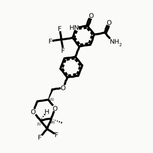 C[C@@]12O[C@H](COc3ccc(-c4cc(C(N)=O)c(=O)[nH]c4C(F)(F)F)cc3)CO[C@@H]1C2(F)F